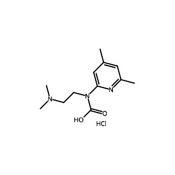 Cc1cc(C)nc(N(CCN(C)C)C(=O)O)c1.Cl